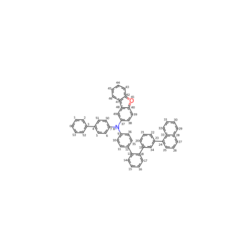 c1ccc(-c2ccc(N(c3ccc(-c4ccccc4-c4cccc(-c5cccc6ccccc56)c4)cc3)c3ccc4oc5ccccc5c4c3)cc2)cc1